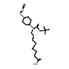 CC(C)(C)OC(=O)N(CCCCCCCC(=O)O)[C@H]1CC[C@@H](N=[N+]=[N-])CC1